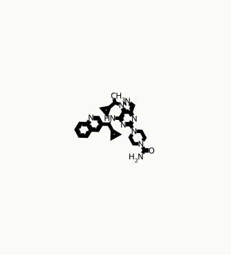 CC(C1CC1)n1ncc2nc(N3CCN(C(N)=O)CC3)nc(N[C@@H](c3cnc4ccccc4c3)C3CC3)c21